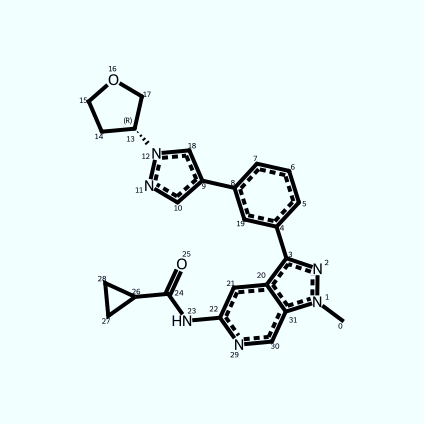 Cn1nc(-c2cccc(-c3cnn([C@@H]4CCOC4)c3)c2)c2cc(NC(=O)C3CC3)ncc21